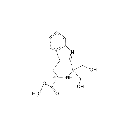 COC(=O)[C@@H]1CC2C(=Nc3ccccc32)C(CO)(CO)N1